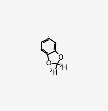 [2H]C1([2H])Oc2c[c]ccc2O1